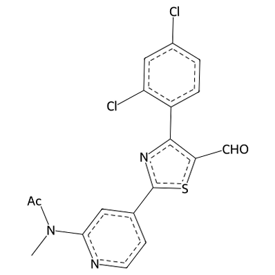 CC(=O)N(C)c1cc(-c2nc(-c3ccc(Cl)cc3Cl)c(C=O)s2)ccn1